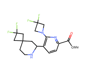 COC(=O)c1ccc(C2CC3(CCN2)CC(F)(F)C3)c(N2CC(F)(F)C2)n1